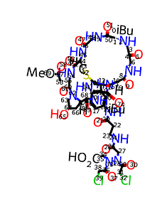 CC[C@H](C)[C@@H]1NCC(=O)CNC(=O)[C@@H]2Cc3c([nH]c4ccc(NC(=O)CCNC(=O)CN(C(=O)CCl)N(CC(=O)O)C(=O)CCl)cc34)SC[C@H](NC(=O)CNC1=O)C(=O)N[C@@H](CC(=O)OC)C(=O)N1C[C@H](O)C[C@H]1C(=O)N[C@@H]([C@@H](C)CC)C(=O)N2